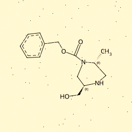 C[C@@H]1CN[C@@H](CO)CN1C(=O)OCc1ccccc1